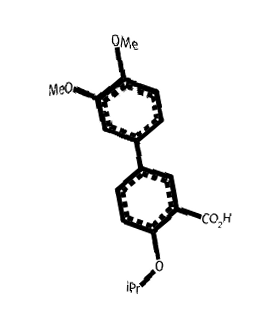 COc1ccc(-c2ccc(OC(C)C)c(C(=O)O)c2)cc1OC